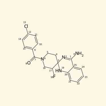 NC1=NC2(CCN(C(=O)c3ccc(Cl)cc3)CC2F)Nc2ccccc21